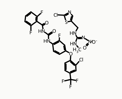 CNC(=N[N+](=O)[O-])NCc1cnc(Cl)s1.O=C(NC(=O)c1c(F)cccc1F)Nc1ccc(Oc2ccc(C(F)(F)F)cc2Cl)cc1F